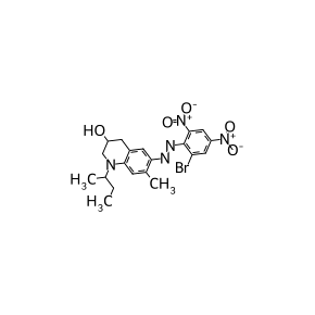 CCC(C)N1CC(O)Cc2cc(N=Nc3c(Br)cc([N+](=O)[O-])cc3[N+](=O)[O-])c(C)cc21